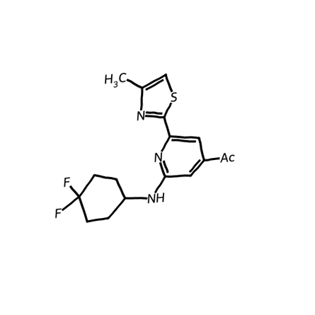 CC(=O)c1cc(NC2CCC(F)(F)CC2)nc(-c2nc(C)cs2)c1